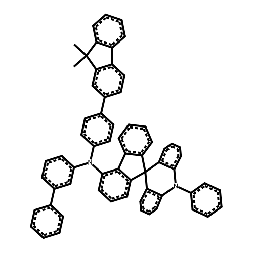 CC1(C)c2ccccc2-c2ccc(-c3ccc(N(c4cccc(-c5ccccc5)c4)c4cccc5c4-c4ccccc4C54c5ccccc5N(c5ccccc5)c5ccccc54)cc3)cc21